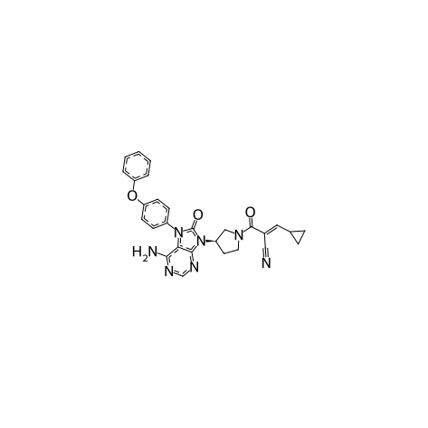 N#C/C(=C\C1CC1)C(=O)N1CC[C@@H](n2c(=O)n(-c3ccc(Oc4ccccc4)cc3)c3c(N)ncnc32)C1